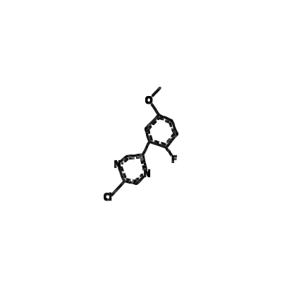 COc1ccc(F)c(-c2cnc(Cl)cn2)c1